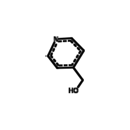 OCc1c[c]ncc1